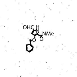 CNC(=O)c1[nH]c(C=O)cc1O[C@@H](C)c1ccccc1